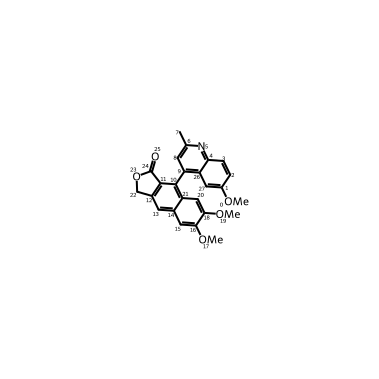 COc1ccc2nc(C)cc(-c3c4c(cc5cc(OC)c(OC)cc35)COC4=O)c2c1